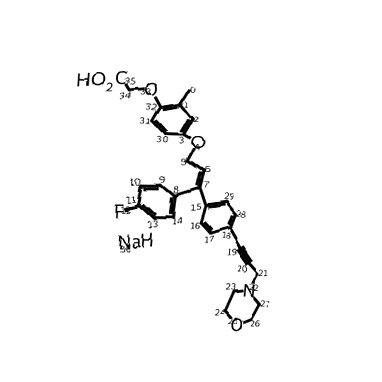 Cc1cc(OC/C=C(\c2ccc(F)cc2)c2ccc(C#CCN3CCOCC3)cc2)ccc1OCC(=O)O.[NaH]